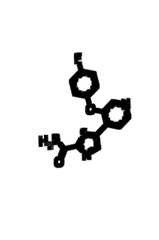 BC(=O)c1ncc(-c2ccncc2Oc2ccc(F)cc2)s1